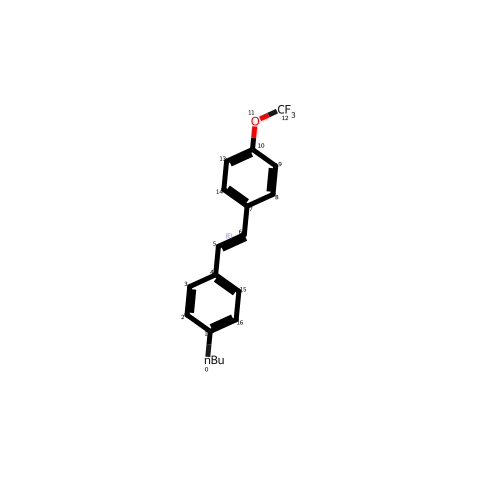 CCCCc1ccc(/C=C/c2ccc(OC(F)(F)F)cc2)cc1